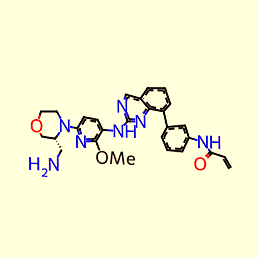 C=CC(=O)Nc1cccc(-c2cccc3cnc(Nc4ccc(N5CCOC[C@H]5CN)nc4OC)nc23)c1